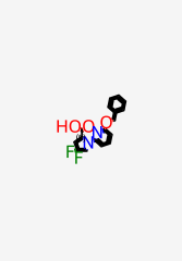 O=C(O)[C@@H]1CC(F)(F)CN1c1cccc(OCc2ccccc2)n1